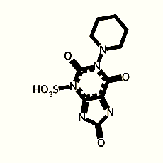 O=C1N=c2c(=O)n(N3CCCCC3)c(=O)n(S(=O)(=O)O)c2=N1